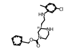 Cc1ccc(Cl)cc1NCC[C@@H]1CN(C(=O)OCc2ccccc2)CCN1